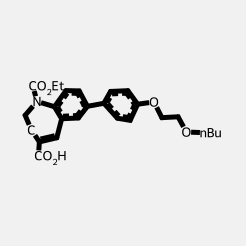 CCCCOCCOc1ccc(-c2ccc3c(c2)C=C(C(=O)O)CCN3C(=O)OCC)cc1